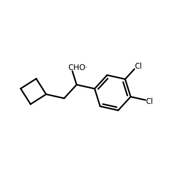 O=[C]C(CC1CCC1)c1ccc(Cl)c(Cl)c1